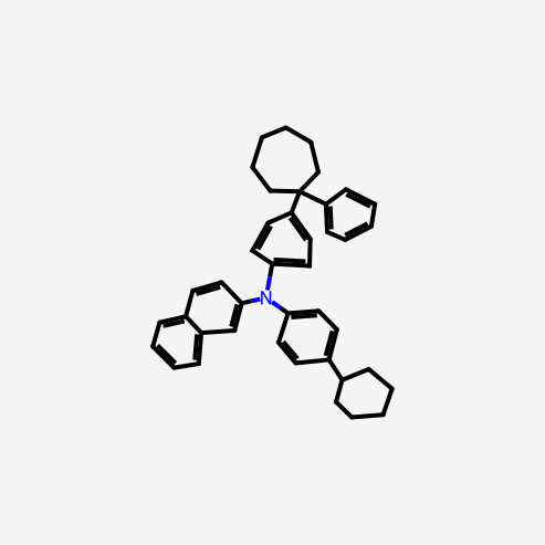 c1ccc(C2(c3ccc(N(c4ccc(C5CCCCC5)cc4)c4ccc5ccccc5c4)cc3)CCCCCC2)cc1